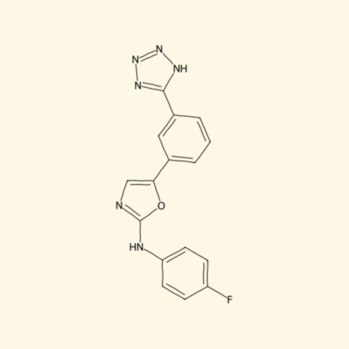 Fc1ccc(Nc2ncc(-c3cccc(-c4nnn[nH]4)c3)o2)cc1